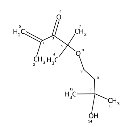 C=C(C)C(=O)C(C)(C)OCCC(C)(C)O